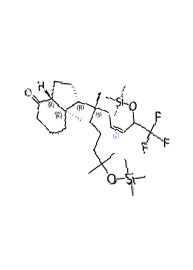 CC(C)(CCC[C@@](C)(C/C=C\C(O[Si](C)(C)C)C(F)(F)F)[C@H]1CC[C@H]2C(=O)CCC[C@]12C)O[Si](C)(C)C